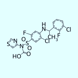 CC(Nc1cc(F)c(S(=O)(=O)N(C(=O)O)c2cscn2)cc1Cl)c1cccc(Cl)c1F